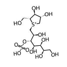 O=S(=O)(O)O[C@@H]([C@H](O)[C@@H](O)[C@H](O)CO)[C@H](O)C[S@+]1C[C@@H](O)[C@H](O)[C@H]1CO